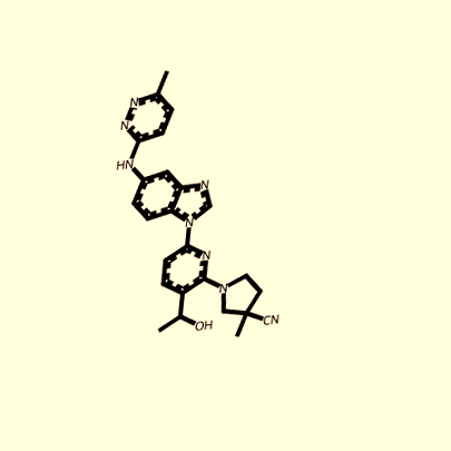 Cc1ccc(Nc2ccc3c(c2)ncn3-c2ccc(C(C)O)c(N3CCC(C)(C#N)C3)n2)nn1